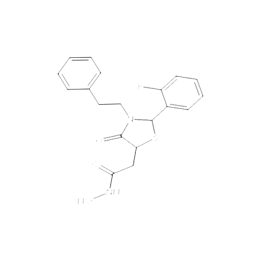 O=C(CC1SC(c2ccccc2F)N(CCc2ccccc2)C1=O)NO